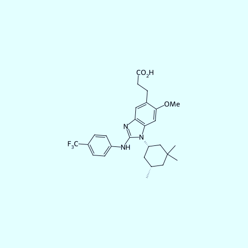 COc1cc2c(cc1CCC(=O)O)nc(Nc1ccc(C(F)(F)F)cc1)n2[C@H]1C[C@@H](C)CC(C)(C)C1